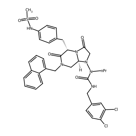 CCCN(C(=O)NCc1ccc(Cl)c(Cl)c1)N1CC(=O)N2[C@@H](Cc3ccc(NS(C)(=O)=O)cc3)C(=O)N(Cc3cccc4ccccc34)C[C@@H]21